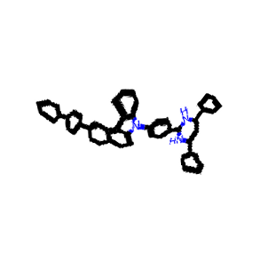 C1=C(c2ccccc2)NC(c2ccc(-n3c4ccccc4c4c5cc(-c6ccc(-c7ccccc7)cc6)ccc5ccc43)cc2)NC1c1ccccc1